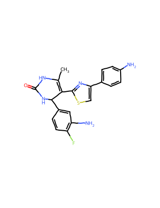 CC1=C(c2nc(-c3ccc(N)cc3)cs2)C(c2ccc(F)c(N)c2)NC(=O)N1